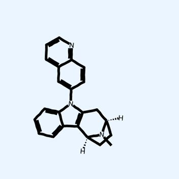 CN1[C@@H]2CC[C@H]1c1c(n(-c3ccc4ncccc4c3)c3ccccc13)C2